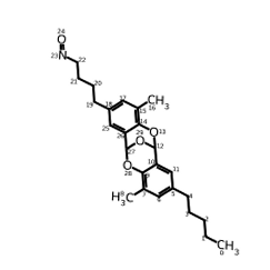 CCCCCc1cc(C)c2c(c1)C1Oc3c(C)cc(CCCCN=O)cc3C(O2)O1